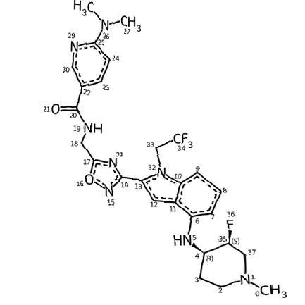 CN1CC[C@@H](Nc2cccc3c2cc(-c2noc(CNC(=O)c4ccc(N(C)C)nc4)n2)n3CC(F)(F)F)[C@@H](F)C1